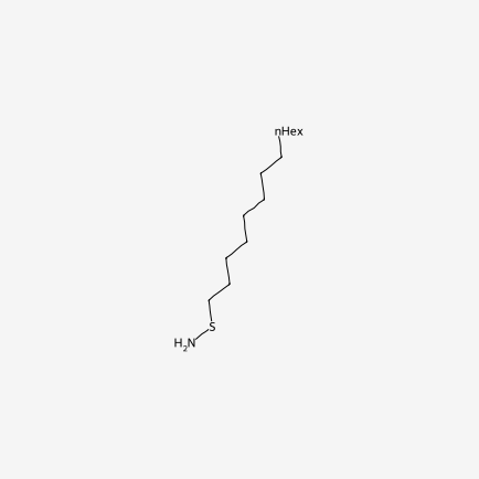 CCCCCCCCCCCCCCSN